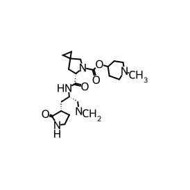 C=NC[C@H](C[C@@H]1CCNC1=O)NC(=O)[C@@H]1CC2(CC2)CN1C(=O)OC1CCN(C)CC1